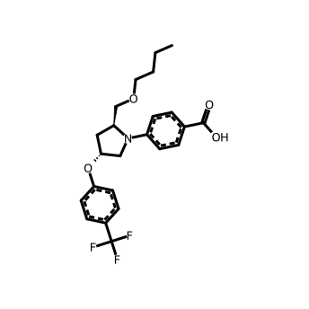 CCCCOC[C@@H]1C[C@@H](Oc2ccc(C(F)(F)F)cc2)CN1c1ccc(C(=O)O)cc1